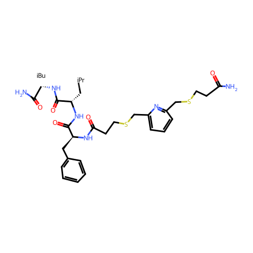 CC[C@H](C)[C@H](NC(=O)[C@H](CC(C)C)NC(=O)[C@H](Cc1ccccc1)NC(=O)CCSCc1cccc(CSCCC(N)=O)n1)C(N)=O